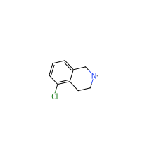 Clc1cccc2c1CC[N]C2